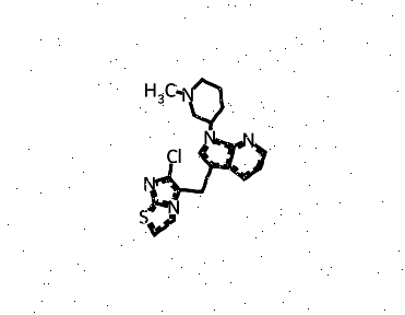 CN1CCCC(n2cc(Cc3c(Cl)nc4sccn34)c3cccnc32)C1